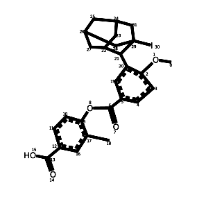 COc1ccc(C(=O)Oc2ccc(C(=O)O)cc2C)cc1C1C2CC3CC(C2)CC1(I)C3